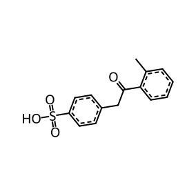 Cc1ccccc1C(=O)Cc1ccc(S(=O)(=O)O)cc1